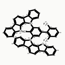 N#Cc1c(-n2c3ccccc3c3ccc4c5ccccc5oc4c32)cc(-c2c(C(F)(F)F)cccc2C(F)(F)F)cc1-n1c2ccccc2c2ccc3c4ccccc4oc3c21